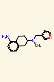 CN(Cc1ccoc1)C1CCc2c(N)cccc2C1